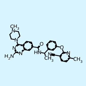 Cc1ccc(C#N)c(Oc2cccc(C(C)NC(=O)c3ccc4c(N5CCN(C)CC5)nc(N)nc4c3)c2)n1